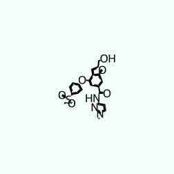 Cn1ccc(NC(=O)c2cc(Oc3ccc(S(C)(=O)=O)cc3)c3cc(CO)oc3c2)n1